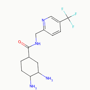 NC1CCC(C(=O)NCc2ccc(C(F)(F)F)cn2)CC1N